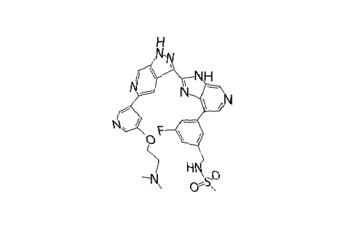 CN(C)CCOc1cncc(-c2cc3c(-c4nc5c(-c6cc(F)cc(CNS(C)(=O)=O)c6)cncc5[nH]4)n[nH]c3cn2)c1